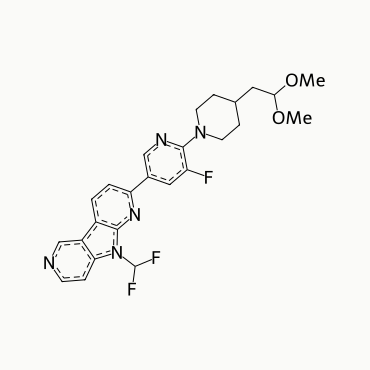 COC(CC1CCN(c2ncc(-c3ccc4c5cnccc5n(C(F)F)c4n3)cc2F)CC1)OC